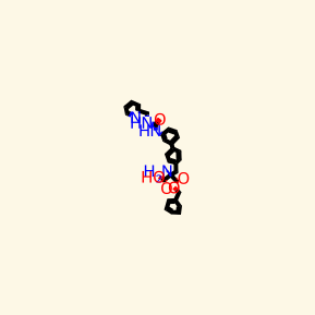 N[C@](Cc1ccc(-c2cccc(NC(=O)NCc3ccccn3)c2)cc1)(C(=O)O)C(=O)OCc1ccccc1